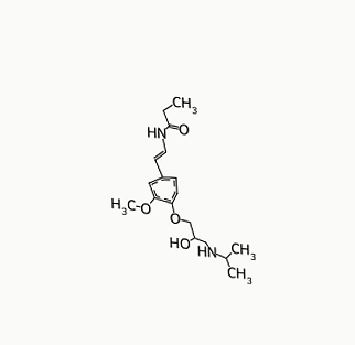 CCC(=O)NC=Cc1ccc(OCC(O)CNC(C)C)c(OC)c1